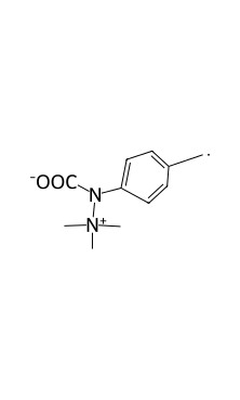 [CH2]c1ccc(N(C(=O)[O-])[N+](C)(C)C)cc1